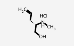 C=CC[C@@H](CO)NC.Cl